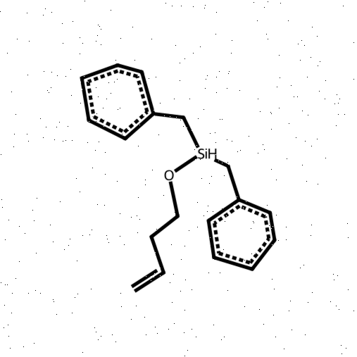 C=CCCO[SiH](Cc1ccccc1)Cc1ccccc1